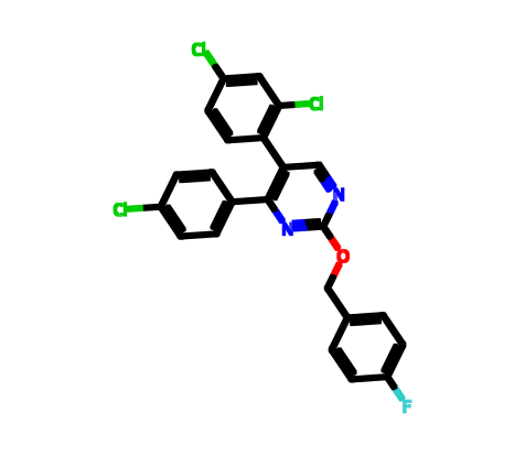 Fc1ccc(COc2ncc(-c3ccc(Cl)cc3Cl)c(-c3ccc(Cl)cc3)n2)cc1